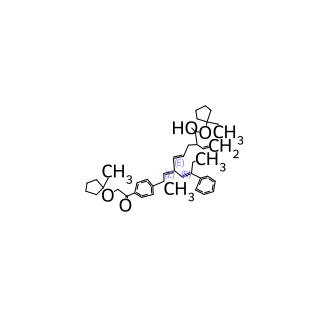 C=CC(C/C=C/C(=C/C(C)c1ccc(C(=O)COC2(CC)CCCC2)cc1)/C=C(\CC)c1ccccc1)C(O)OC1(CC)CCCC1